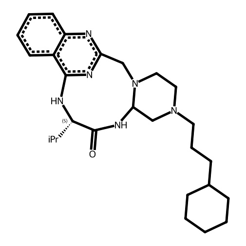 CC(C)[C@@H]1Nc2nc(nc3ccccc23)CN2CCN(CCCC3CCCCC3)CC2NC1=O